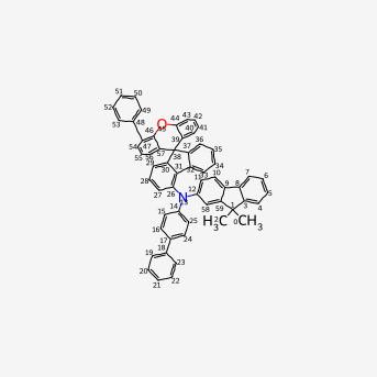 CC1(C)c2ccccc2-c2ccc(N(c3ccc(-c4ccccc4)cc3)c3cccc4c3-c3ccccc3C43c4ccccc4Oc4c(-c5ccccc5)cccc43)cc21